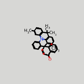 Cc1ccc2c(c1)N1c3ccccc3C3(c4ccccc4C(=O)c4ccccc43)c3c(C)ccc(c31)C2(C)C